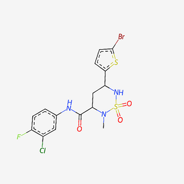 CN1C(C(=O)Nc2ccc(F)c(Cl)c2)CC(c2ccc(Br)s2)NS1(=O)=O